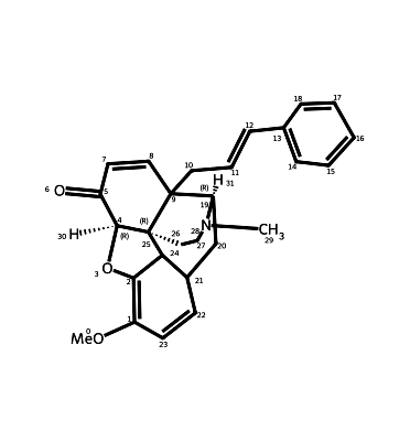 COC1=C2O[C@H]3C(=O)C=CC4(CC=Cc5ccccc5)[C@H]5CC(C=C1)C2[C@@]34CCN5C